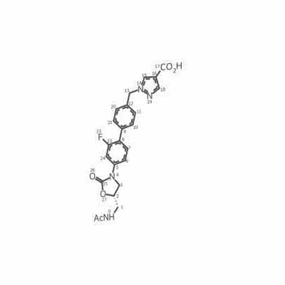 CC(=O)NC[C@H]1CN(c2ccc(-c3ccc(Cn4cc(C(=O)O)cn4)cc3)c(F)c2)C(=O)O1